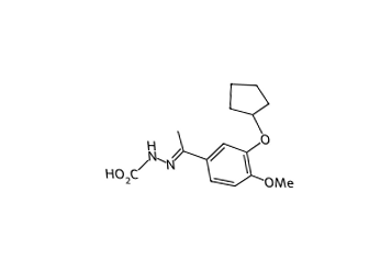 COc1ccc(C(C)=NNC(=O)O)cc1OC1CCCC1